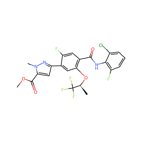 COC(=O)c1cc(-c2cc(O[C@@H](C)C(F)(F)F)c(C(=O)Nc3c(F)cccc3Cl)cc2F)nn1C